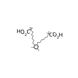 Cc1cc(C)c(CCCCCCC2(C(=O)O)CC2)c(CCCCCCC(C)(C)C(=O)O)c1